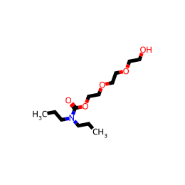 CCCN(CCC)C(=O)OCCOCCOCCO